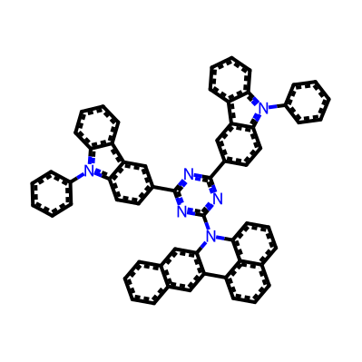 c1ccc(-n2c3ccccc3c3cc(-c4nc(-c5ccc6c(c5)c5ccccc5n6-c5ccccc5)nc(N5c6cc7ccccc7cc6-c6cccc7cccc5c67)n4)ccc32)cc1